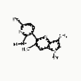 CCCn1cc(C)c2nc(-c3ccc(C(C)C)nc3NCC)c(C)cc21